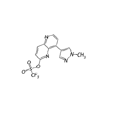 Cn1cc(-c2ccnc3ccc(OS(=O)(=O)C(F)(F)F)nc23)cn1